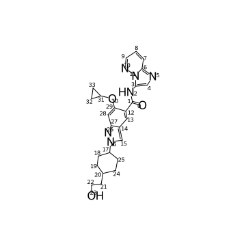 O=C(Nc1cnc2cccnn12)c1cc2cn(C3CCC(CCO)CC3)nc2cc1OC1CC1